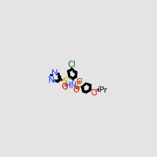 CC(C)Oc1ccc(S(=O)(=O)Nc2ccc(Cl)cc2[S+]([O-])c2cncnc2)cc1